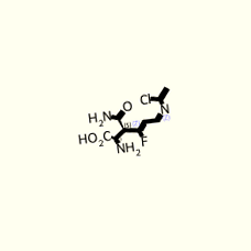 C=C(Cl)/N=C\C=C(/F)[C@H](C(N)=O)[C@@H](N)C(=O)O